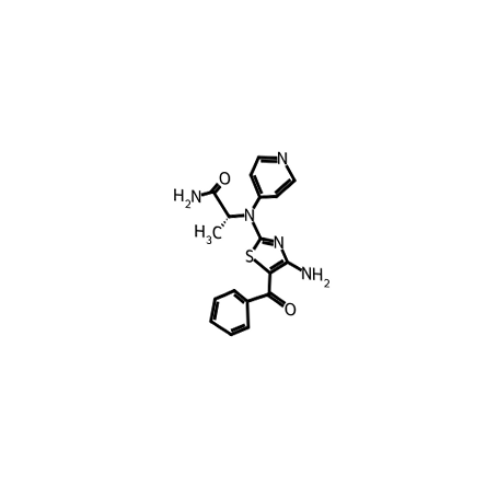 C[C@H](C(N)=O)N(c1ccncc1)c1nc(N)c(C(=O)c2ccccc2)s1